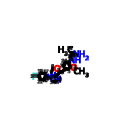 COc1cc(/C=C2\OCCN3C2=NC=CN3c2ccc(F)cc2)ccc1N/C=C(/C)N